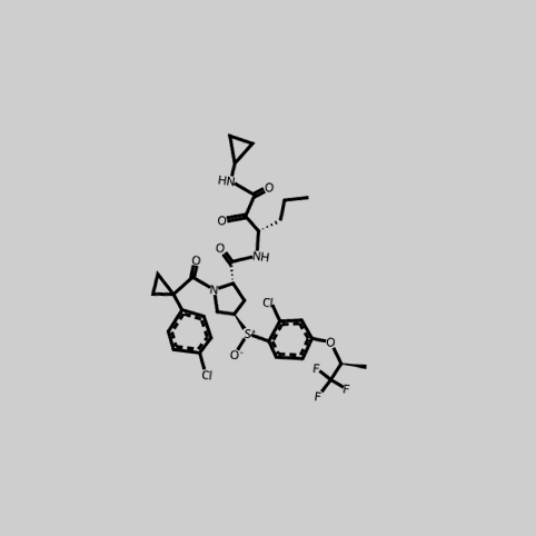 CCC[C@H](NC(=O)[C@@H]1C[C@@H]([S+]([O-])c2ccc(O[C@@H](C)C(F)(F)F)cc2Cl)CN1C(=O)C1(c2ccc(Cl)cc2)CC1)C(=O)C(=O)NC1CC1